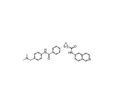 CN(C)Cc1ccc(NC(=O)c2ccc([C@@H]3C[C@H]3C(=O)Nc3ccc4cnccc4c3)cc2)cc1